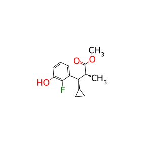 COC(=O)[C@@H](C)[C@H](c1cccc(O)c1F)C1CC1